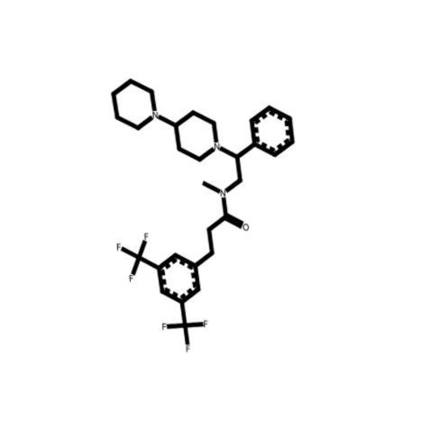 CN(CC(c1ccccc1)N1CCC(N2CCCCC2)CC1)C(=O)CCc1cc(C(F)(F)F)cc(C(F)(F)F)c1